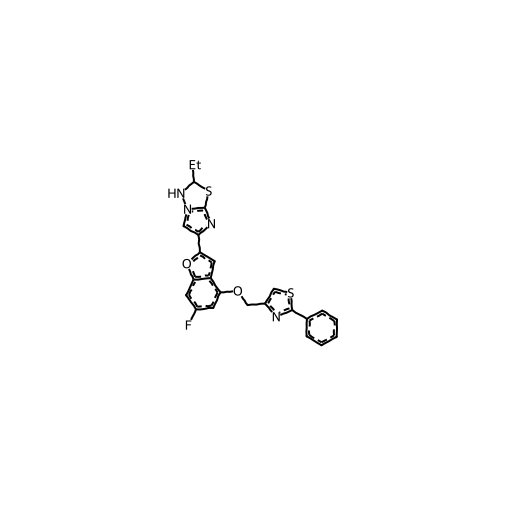 CCC1Nn2cc(-c3cc4c(OCc5csc(-c6ccccc6)n5)cc(F)cc4o3)nc2S1